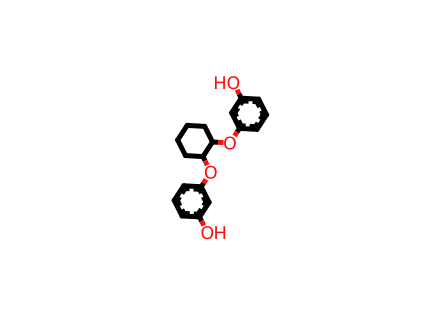 Oc1cccc(OC2CCCCC2Oc2cccc(O)c2)c1